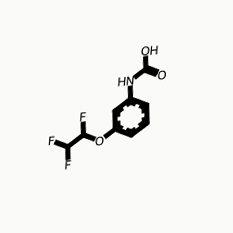 O=C(O)Nc1cccc(OC(F)C(F)F)c1